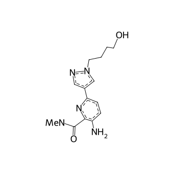 CNC(=O)c1nc(-c2cnn(CCCCO)c2)ccc1N